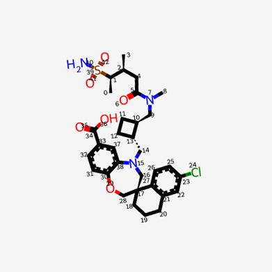 C[C@H]([C@@H](C)CC(=O)N(C)C[C@@H]1CC[C@H]1CN1C[C@@]2(CCCc3cc(Cl)ccc32)COc2ccc(C(=O)O)cc21)S(N)(=O)=O